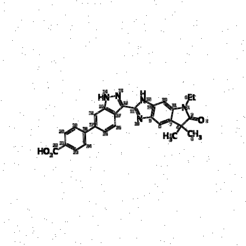 CCN1C(=O)C(C)(C)c2cc3nc(-c4n[nH]c5cc(-c6ccc(C(=O)O)cc6)ccc45)[nH]c3cc21